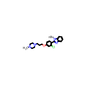 CCCCn1c(-c2ccc(OCCCN3CCN(C)CC3)cc2Cl)nc2ccccc21